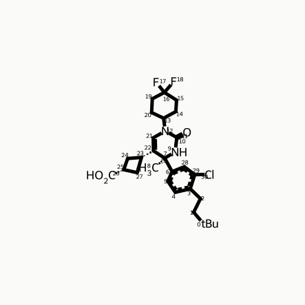 CC(C)(C)CCc1ccc([C@]2(C)NC(=O)N(C3CCC(F)(F)CC3)C=C2[C@H]2C[C@@H](C(=O)O)C2)cc1Cl